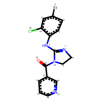 CCc1ccc(NC2=NCCN2C(=O)c2cccnc2)c(Cl)c1